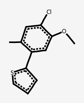 COc1cc(-c2cccs2)c(C)cc1Cl